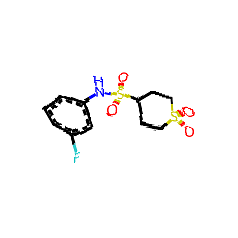 O=S1(=O)CCC(S(=O)(=O)Nc2cccc(F)c2)CC1